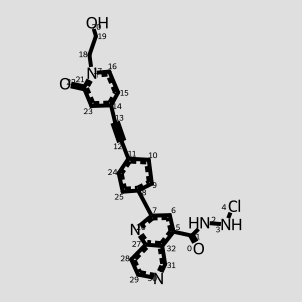 O=C(NNCl)c1cc(-c2ccc(C#Cc3ccn(CCO)c(=O)c3)cc2)nc2ccncc12